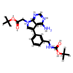 CC(C)(C)OC(=O)Cn1cc(-c2cccc(CNC(=O)OC(C)(C)C)c2)c2c(N)ncnc21